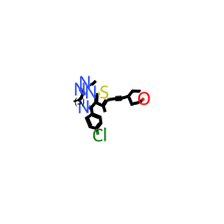 Cc1c(C#CC2CCOCC2)sc2c1C(c1ccc(Cl)cc1)=N[C@@H](C)c1nnc(C)n1-2